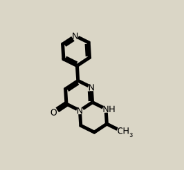 CC1CCn2c(nc(-c3ccncc3)cc2=O)N1